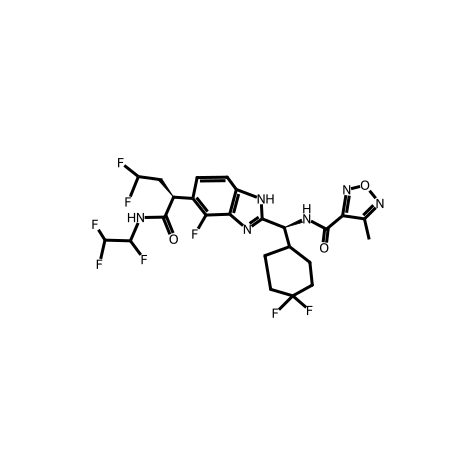 Cc1nonc1C(=O)N[C@H](c1nc2c(F)c([C@H](CC(F)F)C(=O)NC(F)C(F)F)ccc2[nH]1)C1CCC(F)(F)CC1